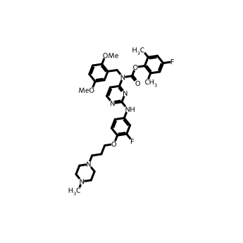 COc1ccc(OC)c(CN(C(=O)Oc2c(C)cc(F)cc2C)c2ccnc(Nc3ccc(OCCCN4CCN(C)CC4)c(F)c3)n2)c1